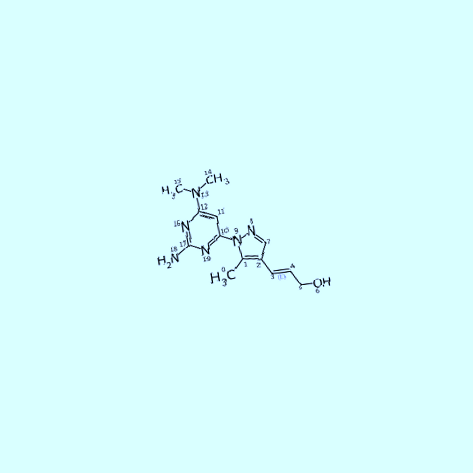 Cc1c(/C=C/CO)cnn1-c1cc(N(C)C)nc(N)n1